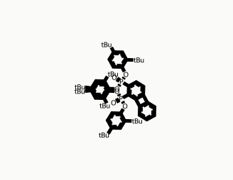 CC(C)(C)c1ccc(OP(=O)(Oc2ccc(C(C)(C)C)cc2C(C)(C)C)c2ccc3c(c2P(=O)(Oc2ccc(C(C)(C)C)cc2C(C)(C)C)Oc2ccc(C(C)(C)C)cc2C(C)(C)C)-c2ccccc2-3)c(C(C)(C)C)c1